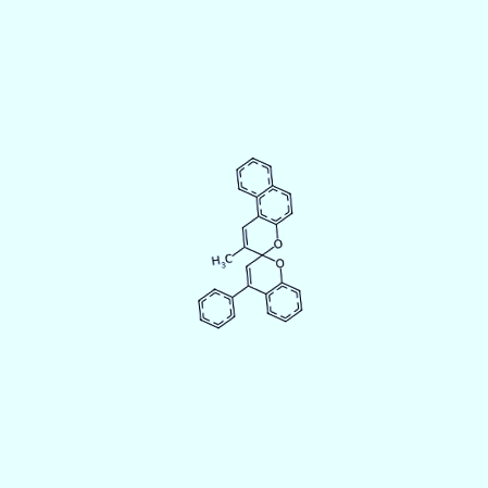 CC1=Cc2c(ccc3ccccc23)OC12C=C(c1ccccc1)c1ccccc1O2